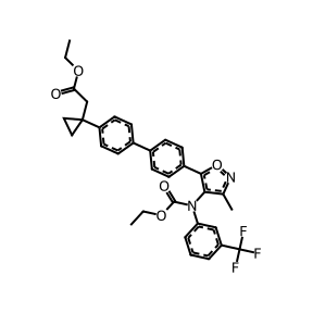 CCOC(=O)CC1(c2ccc(-c3ccc(-c4onc(C)c4N(C(=O)OCC)c4cccc(C(F)(F)F)c4)cc3)cc2)CC1